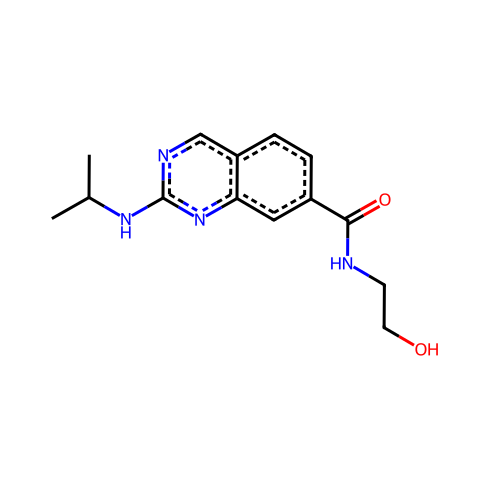 CC(C)Nc1ncc2ccc(C(=O)NCCO)cc2n1